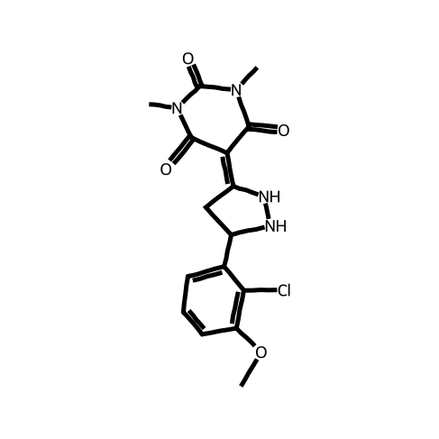 COc1cccc(C2CC(=C3C(=O)N(C)C(=O)N(C)C3=O)NN2)c1Cl